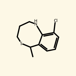 CC1SCCCNc2c(Cl)cccc21